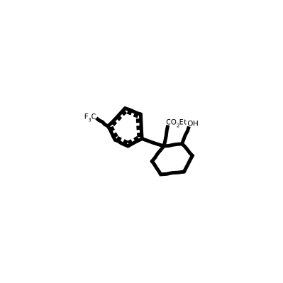 CCOC(=O)C1(c2ccc(C(F)(F)F)cc2)CCCCC1O